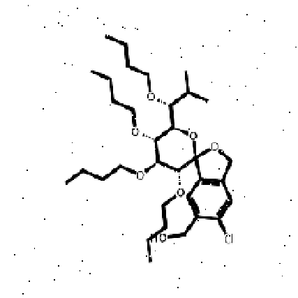 CCCCO[C@@H]1[C@@H]([C@H](OCCCC)C(C)C)O[C@]2(OCc3cc(Cl)c(CO)cc32)[C@H](OCCCC)[C@H]1OCCCC